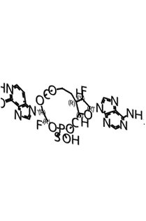 Nc1ncnc2c1ncn2[C@@H]1O[C@@H]2COP(O)(=S)O[C@H](F)[C@H](n3cnc4c(=O)[nH]ccc43)OCOCC[C@H]2[C@@H]1F